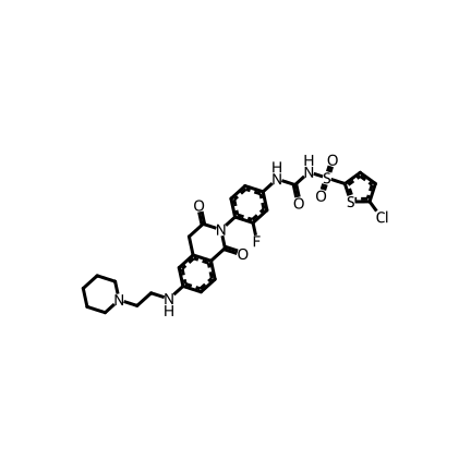 O=C(Nc1ccc(N2C(=O)Cc3cc(NCCN4CCCCC4)ccc3C2=O)c(F)c1)NS(=O)(=O)c1ccc(Cl)s1